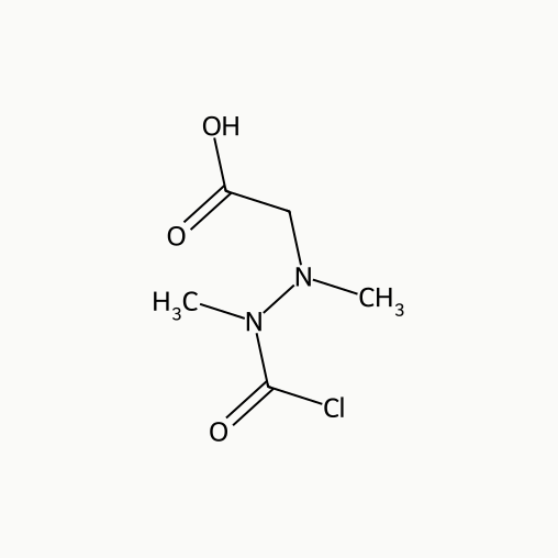 CN(CC(=O)O)N(C)C(=O)Cl